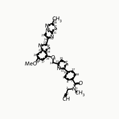 C#CCN(C)C(=O)c1ccc(-c2nc(COc3cc(OC)cc4nc(-c5cn6nc(C)sc6n5)sc34)cs2)cc1